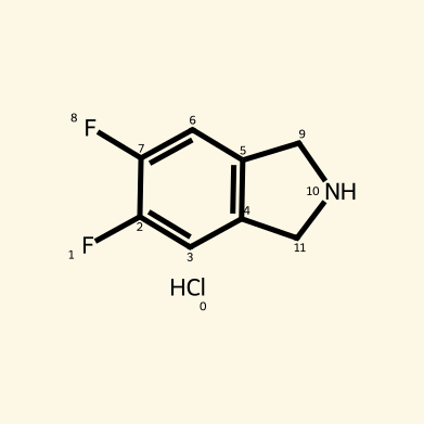 Cl.Fc1cc2c(cc1F)CNC2